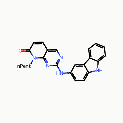 CCCCCn1c(=O)ccc2cnc(Nc3ccc4[nH]c5ccccc5c4c3)nc21